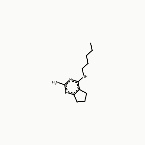 CCCCCNc1nc(N)nc2c1CCC2